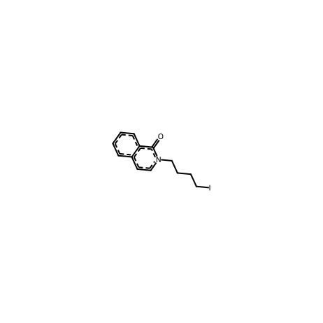 O=c1c2ccccc2ccn1CCCCI